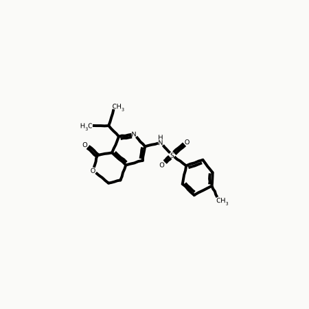 Cc1ccc(S(=O)(=O)Nc2cc3c(c(C(C)C)n2)C(=O)OCC3)cc1